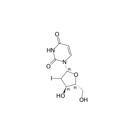 O=c1ccn([C@@H]2O[C@H](CO)[C@@H](O)C2I)c(=O)[nH]1